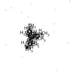 CC(=O)NC1CC(C)(C)N(OC(=O)CC(O)(CC(=O)ON2C(C)(C)CC(NC(C)=O)CC2(C)C)C(=O)ON2C(C)(C)CC(NC(C)=O)CC2(C)C)C(C)(C)C1